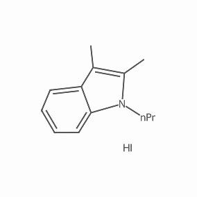 CCCn1c(C)c(C)c2ccccc21.I